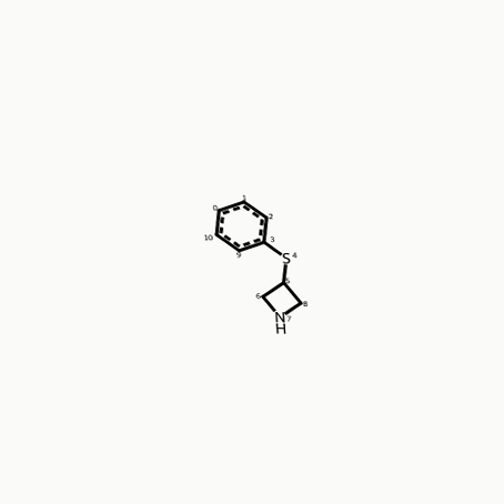 c1ccc(SC2CNC2)cc1